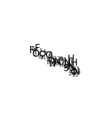 FC(F)Oc1ccc(Oc2ccnc(N3CCC(NC(=S)Nc4cccnc4)CC3)c2)cc1